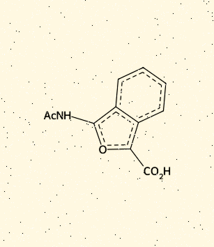 CC(=O)Nc1oc(C(=O)O)c2ccccc12